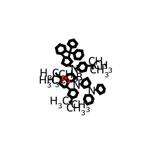 Cc1cc2c3c(c1)N(c1ccc(C(C)(C)C)cc1-c1ccc(C(C)(C)C)cc1)c1cc(N(c4ccccc4)c4ccccc4)ccc1B3c1cc(C(C)(C)C)ccc1N2c1ccc2c(c1)C(c1ccccc1)(c1ccccc1)c1ccccc1-2